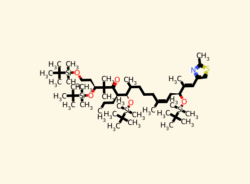 CCC[C@@H](C(=O)C(C)(C)[C@H](CCO[Si](C)(C)C(C)(C)C)O[Si](C)(C)C(C)(C)C)[C@@H](O[Si](C)(C)C(C)(C)C)C(C)CCCC(C)=CC[C@H](O[Si](C)(C)C(C)(C)C)/C(C)=C/c1csc(C)n1